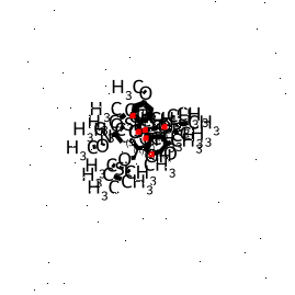 COc1ccc(COC[C@H](C)[C@H]2OC2(C)[C@@H](O[Si](C)(C)C(C)(C)C)[C@@H](CO[Si](C)(C)C(C)(C)C)[C@H](O)[C@@H](CO[Si](C)(C)C(C)(C)C)[C@H](CC(=O)N(C)OC)O[Si](C)(C)C(C)(C)C)cc1